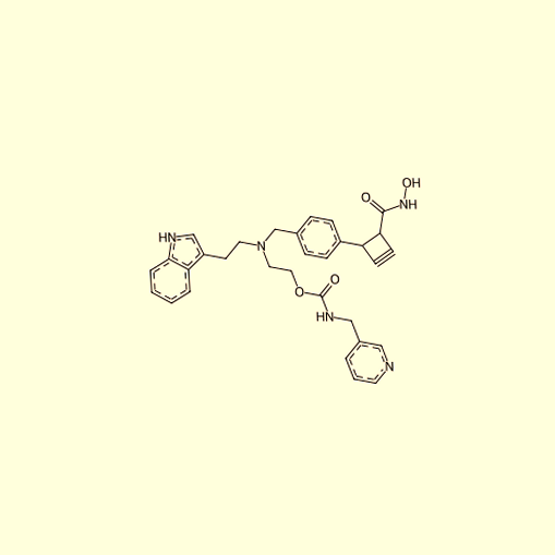 O=C(NCc1cccnc1)OCCN(CCc1c[nH]c2ccccc12)Cc1ccc(C2C#CC2C(=O)NO)cc1